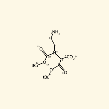 CC(C)(C)OC(=O)C(C(=O)O)N(CCN)C(=O)OC(C)(C)C